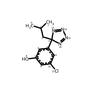 CC(C)CC1(c2cc(O)cc(Cl)c2)N=NN=N1